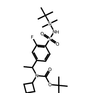 CC(c1ccc(S(=O)(=O)N[Si](C)(C)C(C)(C)C)c(F)c1)N(C(=O)OC(C)(C)C)C1CCC1